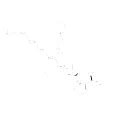 CCCCCCCCCCCCCCOC[C@H](CNCC(=O)N1CCCC1C(N)=O)OCCCCCCCCCCCCCC.Cl